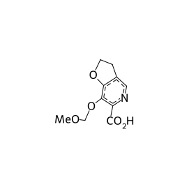 COCOc1c(C(=O)O)ncc2c1OCC2